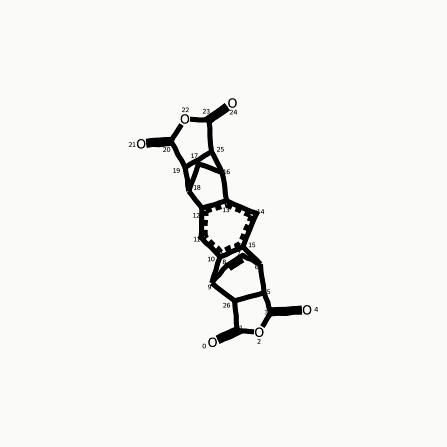 O=C1OC(=O)C2C3C=CC(c4cc5c(cc43)C3CC5C4C(=O)OC(=O)C34)C12